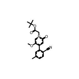 COc1cn(CC(=O)OC(C)(C)C)c(=O)cc1-c1cc(C)ccc1C#N